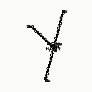 CC(C)(C)OCCOCCOCCCCOCCOCCNC(C)(C)N(CCOCCOCCCOCCOCCOC(C)(C)C)C(C)(C)N(CCOCCOCCOCCOCCOCCOC(C)(C)C)C(C)(C)C